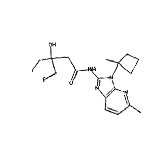 CCC(O)(CF)CC(=O)Nc1nc2ccc(C)nc2n1C1(C)CCC1